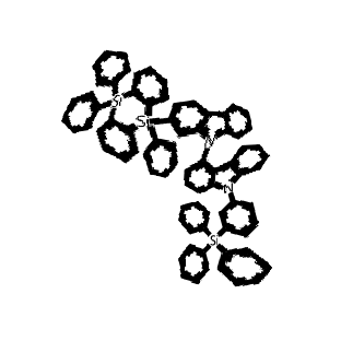 c1ccc([Si](c2ccccc2)(c2ccccc2)c2cccc(-n3c4ccccc4c4c(-n5c6ccccc6c6ccc([Si]7(c8ccccc8)c8ccccc8[Si](c8ccccc8)(c8ccccc8)c8ccccc87)cc65)cccc43)c2)cc1